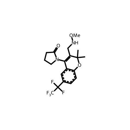 CONCC1=C(N2CCCC2=O)c2cc(C(F)(F)C(F)(F)F)ccc2OC1(C)C